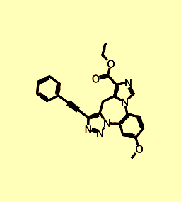 CCOC(=O)c1ncn2c1Cc1c(C#Cc3ccccc3)nnn1-c1cc(OC)ccc1-2